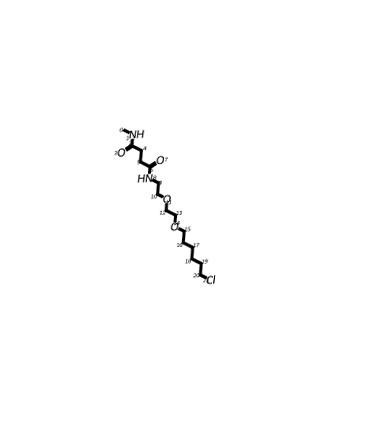 CNC(=O)CCC(=O)NCCOCCOCCCCCCCl